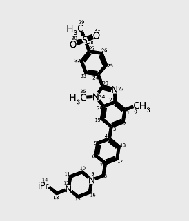 Cc1cc(-c2ccc(CN3CCN(CC(C)C)CC3)cc2)cc2c1nc(-c1ccc(S(C)(=O)=O)cc1)n2C